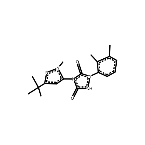 Cc1cccc(-n2[nH]c(=O)n(-c3cc(C(C)(C)C)nn3C)c2=O)c1C